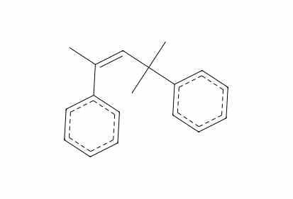 CC(=CC(C)(C)c1ccccc1)c1ccccc1